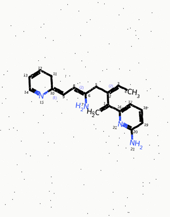 C=C(/C(=C\C)C/C(N)=C/C=C1\CC=CC=N1)c1cccc(N)n1